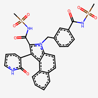 CS(=O)(=O)NC(=O)c1cccc(Cn2c(C(=O)NS(C)(=O)=O)c(-c3ccc[nH]c3=O)c3c4ccccc4ccc32)c1